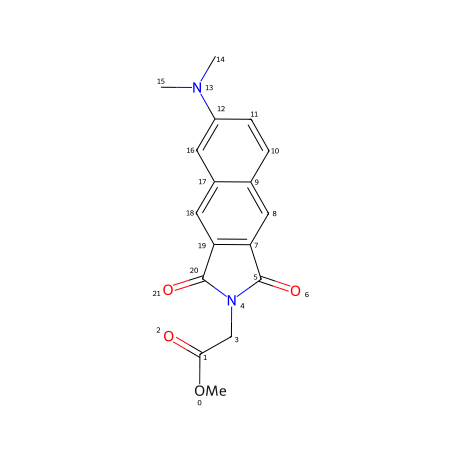 COC(=O)CN1C(=O)c2cc3ccc(N(C)C)cc3cc2C1=O